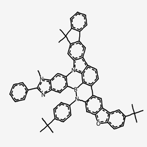 Cn1c(-c2ccccc2)nc2cc3c(cc21)-n1c2cc4c(cc2c2ccc5c(c21)B3N(c1ccc(C(C)(C)C)cc1)c1cc2oc3ccc(C(C)(C)C)cc3c2cc1-5)-c1ccccc1C4(C)C